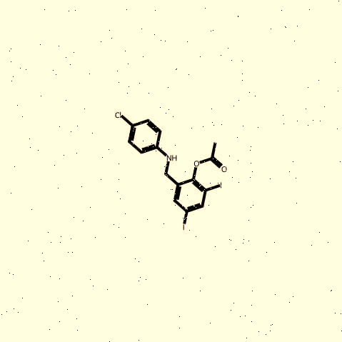 CC(=O)Oc1c(I)cc(I)cc1CNc1ccc(Cl)cc1